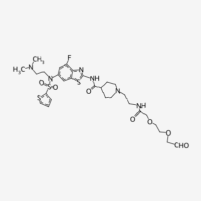 CN(C)CCN(c1cc(F)c2nc(NC(=O)C3CCN(CCNC(=O)COCCOCC=O)CC3)sc2c1)S(=O)(=O)c1cccs1